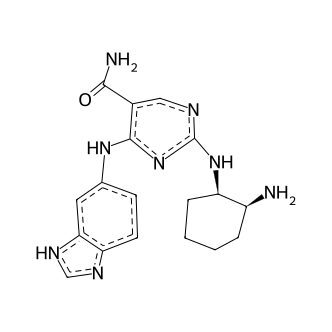 NC(=O)c1cnc(N[C@@H]2CCCC[C@@H]2N)nc1Nc1ccc2nc[nH]c2c1